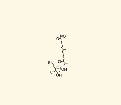 CC/C=C/C1OC(O)(CC[C@H](C)/C(Cl)=C/C=C/C=C(C)/C=C/C=C/C(=O)N=O)CC(O)C1Cl